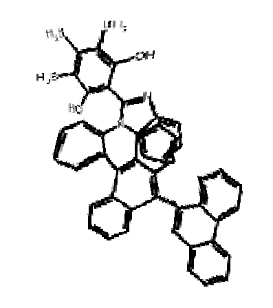 Bc1c(B)c(O)c(-c2nc3ccccc3n2-c2ccccc2-c2c3ccccc3c(-c3cc4ccccc4c4ccccc34)c3ccccc23)c(O)c1B